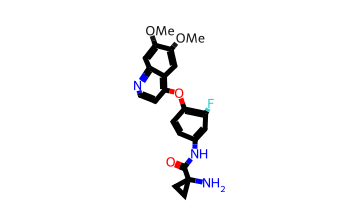 COc1cc2nccc(Oc3ccc(NC(=O)C4(N)CC4)cc3F)c2cc1OC